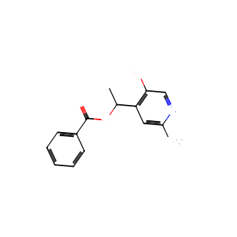 COc1cc(C(C)OC(=O)c2ccccc2)c(O)cn1